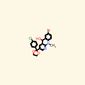 CNc1ncc(C2(c3ccc(Cl)cc3)OCCO2)cc1C(O)c1cccc(Br)c1